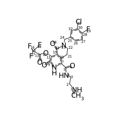 CNCCNC(=O)c1[nH]c(=O)c(OC(=O)C(F)(F)F)c2c1CCN(Cc1ccc(F)c(Cl)c1)C2=O